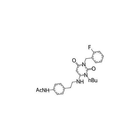 CCCCn1c(NCCc2ccc(NC(C)=O)cc2)cc(=O)n(Cc2ccccc2F)c1=O